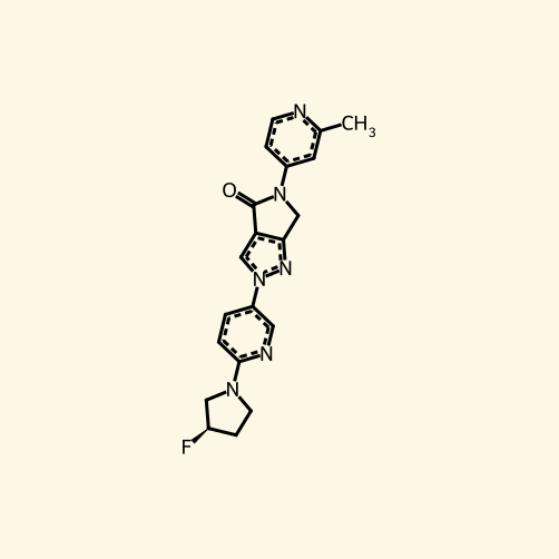 Cc1cc(N2Cc3nn(-c4ccc(N5CC[C@@H](F)C5)nc4)cc3C2=O)ccn1